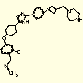 C=NCc1ccc(O[C@H]2CC[C@H](c3cnc(-c4ccc(N5CC(CN6CCNCC6)C5)cc4)[nH]3)CC2)cc1Cl